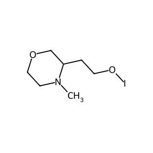 CN1CCOCC1CCOI